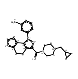 O=C(c1nn(-c2cccc([N+](=O)[O-])c2)c2c1CCc1sccc1-2)N1CCN(CC2CC2)CC1